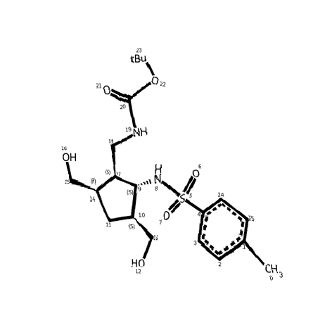 Cc1ccc(S(=O)(=O)N[C@@H]2[C@@H](CO)C[C@@H](CO)[C@H]2CNC(=O)OC(C)(C)C)cc1